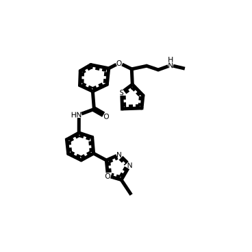 CNCCC(Oc1cccc(C(=O)Nc2cccc(-c3nnc(C)o3)c2)c1)c1cccs1